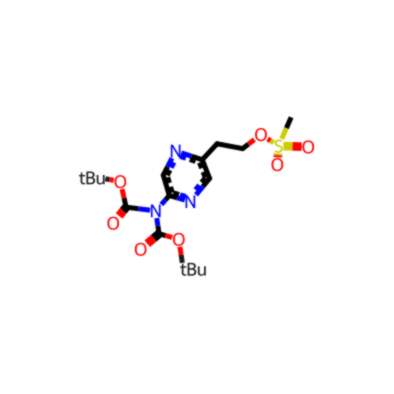 CC(C)(C)OC(=O)N(C(=O)OC(C)(C)C)c1cnc(CCOS(C)(=O)=O)cn1